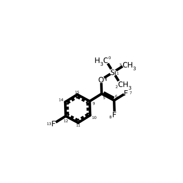 C[Si](C)(C)OC(=C(F)F)c1ccc(F)cc1